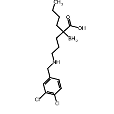 BC(CCCC)(CCCNCc1ccc(Cl)c(Cl)c1)C(=O)O